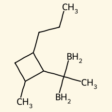 BC(B)(C)C1C(C)CC1CCC